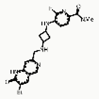 CCc1cc2cnc(CNC3CC(Nc4ccc(C(=O)NC)nc4F)C3)cc2[nH]c1=O